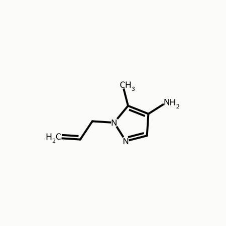 C=CCn1ncc(N)c1C